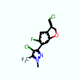 Cn1nc(-c2cc3c(cc2F)/C(=C/Cl)CO3)c(Cl)c1C(F)(F)F